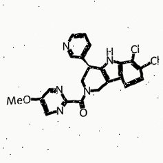 COc1cnc(C(=O)N2Cc3c([nH]c4c(Cl)c(Cl)ccc34)[C@H](c3cccnc3)C2)nc1